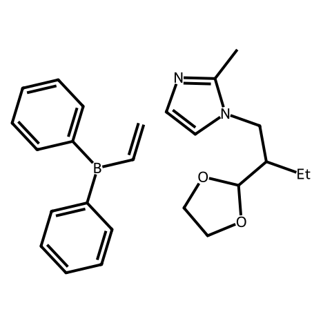 C=CB(c1ccccc1)c1ccccc1.CCC(Cn1ccnc1C)C1OCCO1